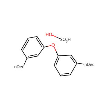 CCCCCCCCCCc1cccc(Oc2cccc(CCCCCCCCCC)c2)c1.O=S(=O)(O)O